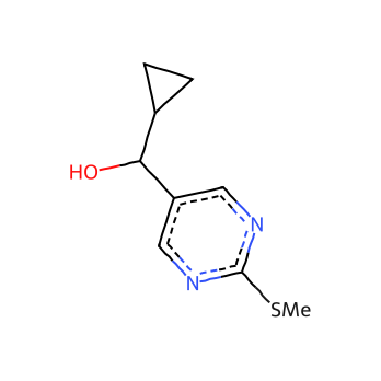 CSc1ncc(C(O)C2CC2)cn1